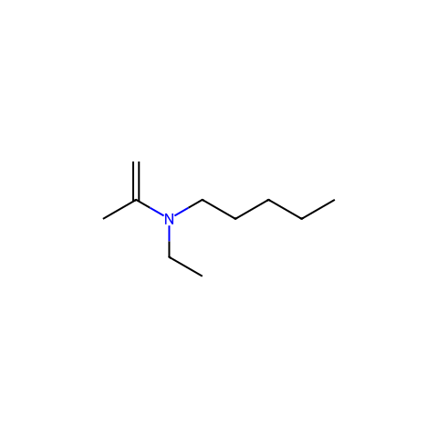 C=C(C)N(CC)CCCCC